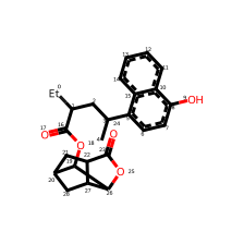 CCC(CC(C)c1ccc(O)c2ccccc12)C(=O)OC1C2CC3C(=O)OC1C3C2